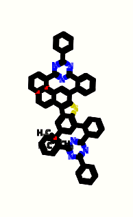 CC(C)(C)c1cc(-c2ccccc2-c2nc(-c3ccccc3)nc(-c3ccccc3)n2)c2sc3c(-c4ccccc4-c4nc(-c5ccccc5)nc(-c5ccccc5)n4)cc4ccccc4c3c2c1